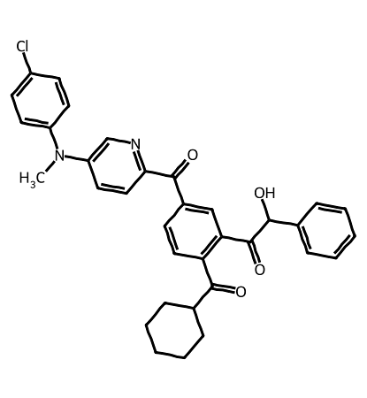 CN(c1ccc(Cl)cc1)c1ccc(C(=O)c2ccc(C(=O)C3CCCCC3)c(C(=O)C(O)c3ccccc3)c2)nc1